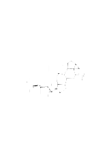 COC1CC2C3CCC(C(C)CCC=C(C)C)C3(C)CCC2C2(C)CCC3CC312